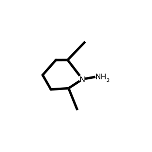 CC1CCCC(C)N1N